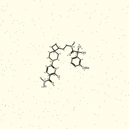 COc1cccc([C@@](O)(C(=O)N(C)CCC2CCC23CCN(c2ccc(C(=O)N(C)C(C)C)c(Cl)n2)CC3)C(F)(F)F)c1